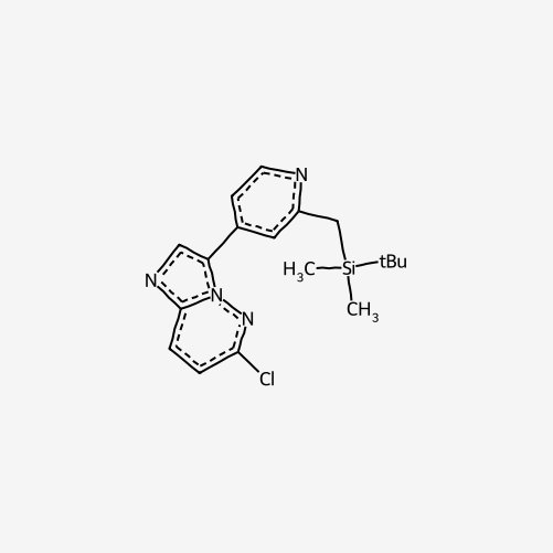 CC(C)(C)[Si](C)(C)Cc1cc(-c2cnc3ccc(Cl)nn23)ccn1